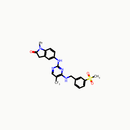 CC(C)N1C(=O)Cc2cc(Nc3ncc(C(F)(F)F)c(NCc4cccc(S(C)(=O)=O)c4)n3)ccc21